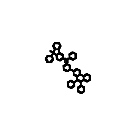 CC1(c2ccccc2)c2ccccc2-c2cc(N(c3ccccc3)c3cccc(-c4ccc5c(c4)c(-c4ccccc4)c(-c4ccccc4)c4ccccc45)c3)ccc21